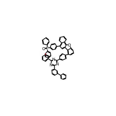 O=P(c1ccccc1)(c1ccccc1)c1ccc(-c2cc3c(oc4cccc(-c5ccc(-c6nc(-c7ccccc7)nc(-c7cccc(-c8ccccc8)c7)n6)cc5)c43)c3ccccc23)cc1